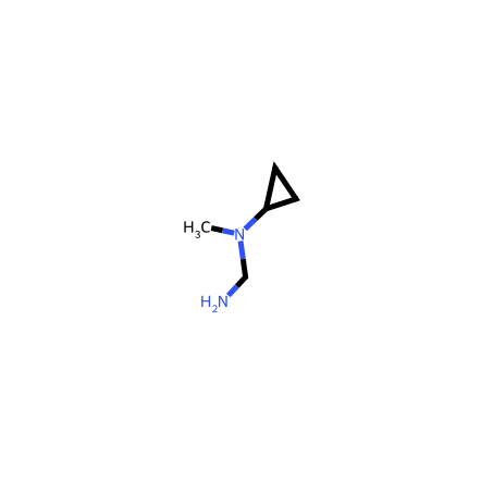 CN(CN)C1CC1